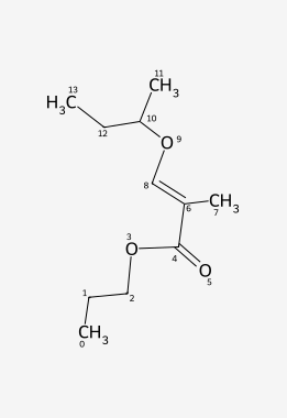 CCCOC(=O)C(C)=COC(C)CC